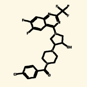 O=C(c1ccc(Cl)cc1)N1CCN(C2CN(c3nc(C(F)(F)F)nc4cc(F)c(F)cc34)CC2O)CC1